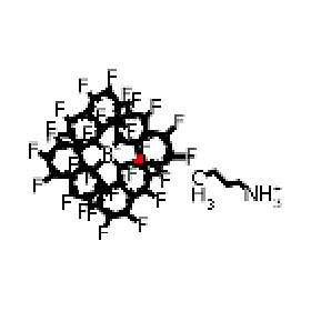 CCCC[NH3+].Fc1c(F)c(F)c2c([B-](c3c(F)c(F)c(F)c4c(F)c(F)c(F)c(F)c34)(c3c(F)c(F)c(F)c4c(F)c(F)c(F)c(F)c34)c3c(F)c(F)c(F)c4c(F)c(F)c(F)c(F)c34)c(F)c(F)c(F)c2c1F